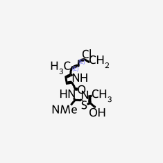 C=C/C(Cl)=C\C=C(/C)c1ccc(C(=O)NC(CNC)c2nc(C)c(CO)s2)[nH]1